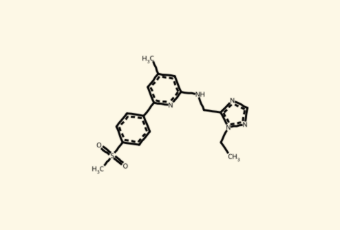 CCn1ncnc1CNc1cc(C)cc(-c2ccc(S(C)(=O)=O)cc2)n1